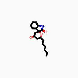 CCCCCCC1CC(=O)CC2(O1)C(=O)NC1=CCCC=C12